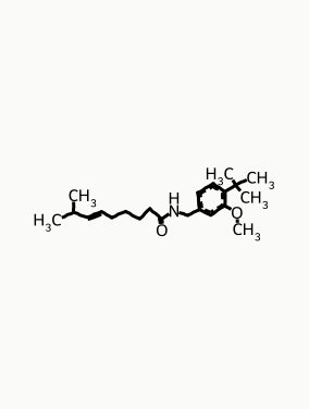 COc1cc(CNC(=O)CCCC/C=C/C(C)C)ccc1C(C)(C)C